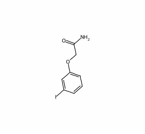 NC(=O)COc1cccc(I)c1